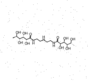 C[C@@H](O)[C@@H](O)[C@H](O)[C@@H](O)C(=O)NCCNCCNC(=O)[C@H](O)[C@@H](O)[C@H](O)[C@@H](C)O